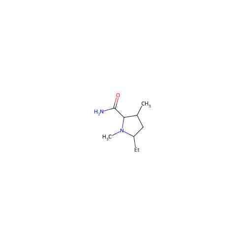 CCC1CC(C)C(C(N)=O)N1C